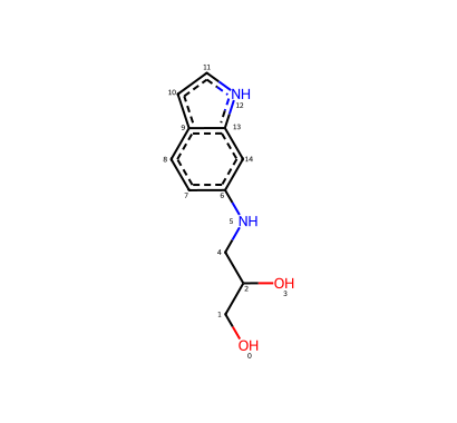 OCC(O)CNc1ccc2cc[nH]c2c1